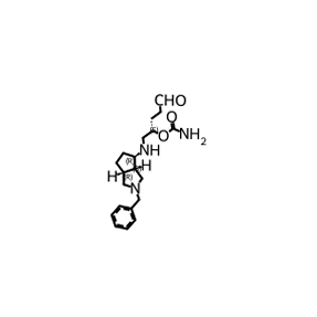 NC(=O)O[C@@H](CCC=O)CN[C@@H]1CC[C@H]2CN(Cc3ccccc3)C[C@H]21